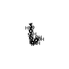 O=C(Nc1ccc(NC(=S)N2CCN(c3ncnc4[nH]c5cc(O)c(O)cc5c34)CC2)cc1)C1CC1